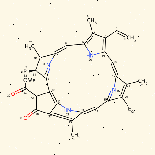 C=Cc1c(C)c2cc3nc(c4c5[nH]c(cc6nc(cc1[nH]2)C(C)=C6CC)c(C)c5C(=O)C4C(=O)OC)[C@@H](CCC)C3C